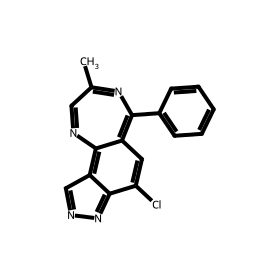 Cc1cnc2c(cc(Cl)c3nncc32)c(-c2ccccc2)n1